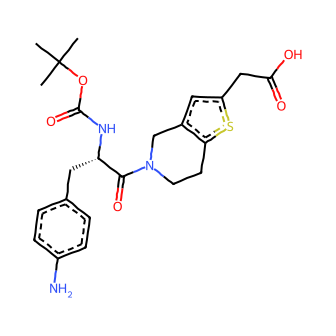 CC(C)(C)OC(=O)N[C@@H](Cc1ccc(N)cc1)C(=O)N1CCc2sc(CC(=O)O)cc2C1